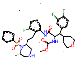 COC(=O)N[C@H](C(=O)Nc1cccc(F)c1CC[C@H]1CNC[C@H](C)N1S(=O)(=O)c1ccccc1)C(c1ccc(F)c(F)c1)C1CCOCC1